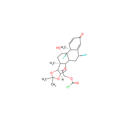 CC1(C)O[C@@H]2CC3C4C[C@H](F)C5=CC(=O)C=C[C@]5(C)[C@@]4(F)[C@@H](O)C[C@]3(C)[C@]2(C(=O)COC(=O)Cl)O1